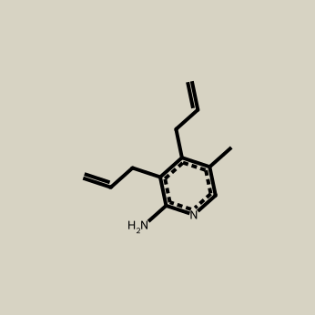 C=CCc1c(C)cnc(N)c1CC=C